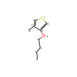 CCCCOc1cscc1C